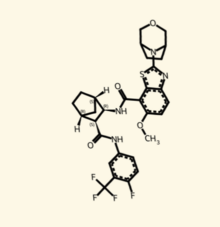 COc1ccc2nc(N3C4CCC3COC4)sc2c1C(=O)N[C@@H]1[C@H]2CC[C@H](C2)[C@@H]1C(=O)Nc1ccc(F)c(C(F)(F)F)c1